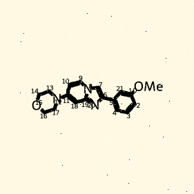 COc1cccc(-c2cn3ccc(N4CCOCC4)cc3n2)c1